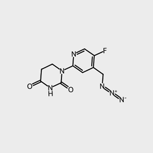 [N-]=[N+]=NCc1cc(N2CCC(=O)NC2=O)ncc1F